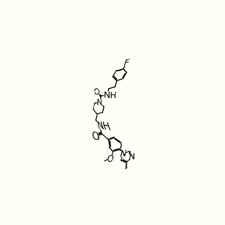 COc1cc(C(=O)NCC2CCN(C(=O)NCCc3ccc(F)cc3)CC2)ccc1-n1cnc(C)c1